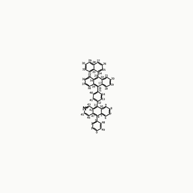 c1ccc(-c2c3ccccc3c(-c3ccc(-c4c5ccccc5c(-c5cccc6ccccc56)c5ccccc45)cc3)c3cnccc23)cc1